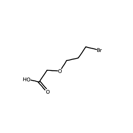 O=C(O)COCCCBr